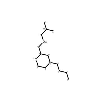 CCCCN1CCOC(COCC(C)C)C1